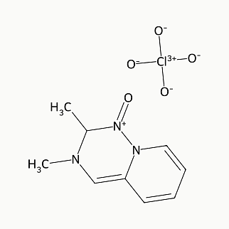 CC1N(C)C=C2C=CC=CN2[N+]1=O.[O-][Cl+3]([O-])([O-])[O-]